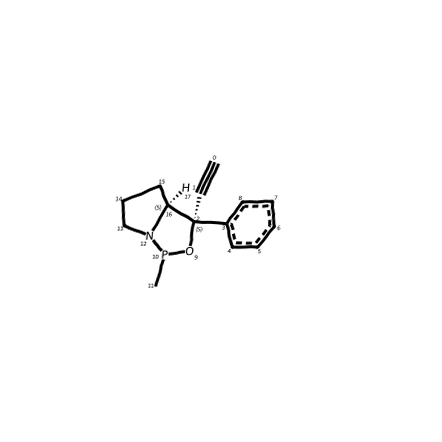 C#C[C@]1(c2ccccc2)OP(C)N2CCC[C@H]21